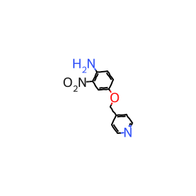 Nc1ccc(OCc2ccncc2)cc1[N+](=O)[O-]